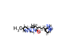 Cc1ccc(N2CCN3C(=O)C(CCCc4cccn5ncnc45)C[C@H]3C2)nc1